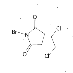 ClCCCl.O=C1CCC(=O)N1Br